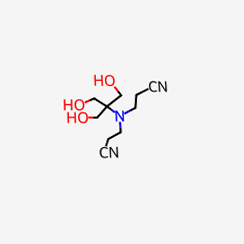 N#CCCN(CCC#N)C(CO)(CO)CO